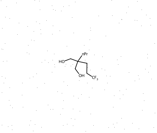 CCCC(CO)(CO)CCC(F)(F)F